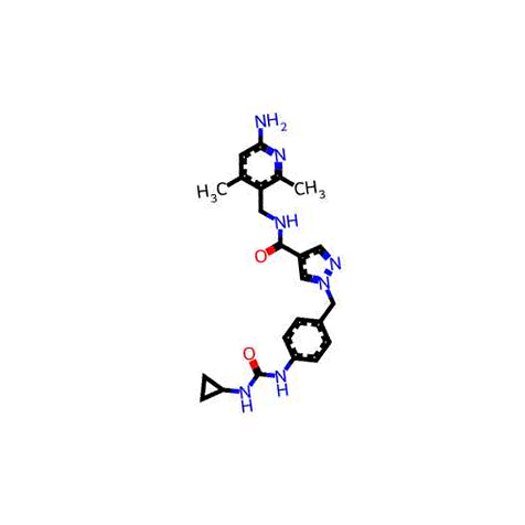 Cc1cc(N)nc(C)c1CNC(=O)c1cnn(Cc2ccc(NC(=O)NC3CC3)cc2)c1